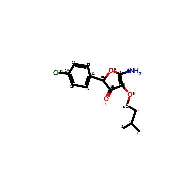 CC(C)CSOC1=C(N)OC(c2ccc(Cl)cc2)C1=O